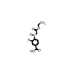 CCOC(=O)C[S+]([O-])c1ccc(C(=O)O)cc1F